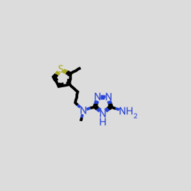 Cc1sccc1CCN(C)c1nnc(N)[nH]1